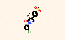 CCCCCOc1c(-c2ccc(S(C)(=O)=O)cc2)cnn(-c2cccc(Cl)c2)c1=O